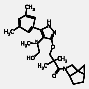 Cc1cc(C)cc(-c2[nH]nc(OCC(C)(C)C(=O)N3CC45CC4CCC35)c2[C@H](C)CO)c1